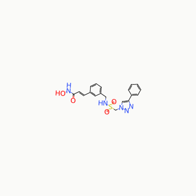 O=C(/C=C/c1cccc(CNS(=O)(=O)Cn2cc(-c3ccccc3)nn2)c1)NO